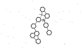 CC1(C)c2ccccc2-c2cccc(N(c3ccc(-c4ccccc4)cc3)c3cccc(-c4cccc(-c5ccc6c7c(cccc57)-c5ccccc5-6)c4)c3)c21